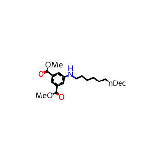 CCCCCCCCCCCCCCCCNc1cc(C(=O)OC)cc(C(=O)OC)c1